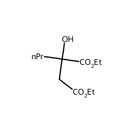 CCCC(O)(CC(=O)OCC)C(=O)OCC